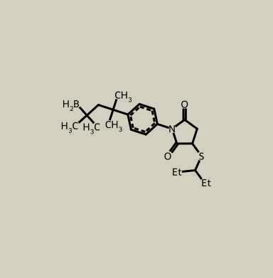 BC(C)(C)CC(C)(C)c1ccc(N2C(=O)CC(SC(CC)CC)C2=O)cc1